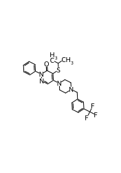 CC(C)Sc1c(N2CCN(Cc3cccc(C(F)(F)F)c3)CC2)cnn(-c2ccccc2)c1=O